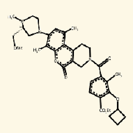 CCOC(=O)c1ccc(C(=O)N2CCc3c(c(=O)oc4c(C)c(N5CCN(C)[C@@H](COC)C5)cc(C)c34)C2)c(C)c1OC1CCC1